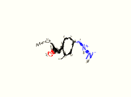 COC(=O)c1ccc(N=[N+]=[N-])cc1C